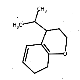 CC(C)C1CCOC2=C1C=CCC2